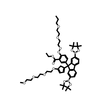 CCCOCCOCCOOc1ccc(C2(C3=CC=C(OCCOCCOCCOC)C3)c3cc(B4OC(C)(C)C(C)(C)O4)ccc3-c3ccc(B4OC(C)(C)C(C)(C)O4)cc32)cc1C(=O)OCC